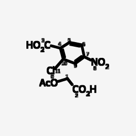 CC(=O)OCC(=O)O.O=C(O)c1ccc([N+](=O)[O-])cc1Cl